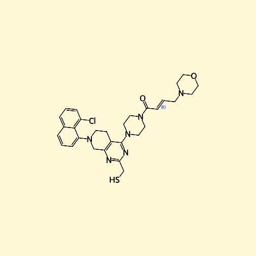 O=C(/C=C/CN1CCOCC1)N1CCN(c2nc(CS)nc3c2CCN(c2cccc4cccc(Cl)c24)C3)CC1